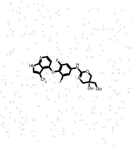 OC[C@]1(O)CN=C(Nc2cc(F)c(Oc3ccnc4[nH]cc(C(F)(F)F)c34)c(F)c2)OC1